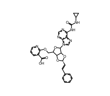 O=C(Nc1ncnc2c1ncn2C1OC(COc2ncccc2C(=O)O)C2O[C@H](/C=C/c3ccccc3)OC21)NC1CC1